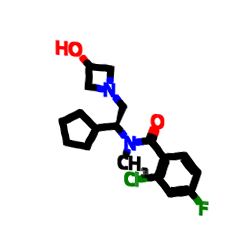 CN(C(=O)c1ccc(F)cc1Cl)[C@H](CN1CC(O)C1)C1CCCC1